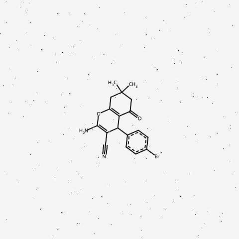 CC1(C)CC(=O)C2=C(C1)OC(N)=C(C#N)C2c1ccc(Br)cc1